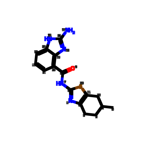 CC1CCc2nc(NC(=O)c3cccc4[nH]c(N)nc34)sc2C1